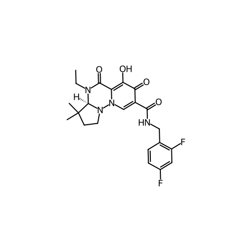 CCN1C(=O)c2c(O)c(=O)c(C(=O)NCc3ccc(F)cc3F)cn2N2CCC(C)(C)[C@@H]12